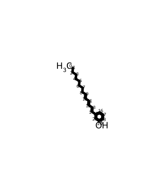 CCCCCCCCCC=CC=CC=Cc1cccc(O)c1